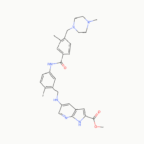 COC(=O)c1cc2cc(NCc3cc(NC(=O)c4ccc(CN5CCN(C)CC5)c(C)c4)ccc3C)cnc2[nH]1